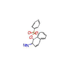 [N-]=[N+]=C1C=Cc2ccccc2C1OS(=O)(=O)c1ccccc1